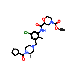 Cc1c(CN2CCN(C(=O)C3CCCC3)[C@@H](C)C2)cc(Cl)cc1NC(=O)C1CN(C(=O)OC(C)(C)C)CCO1